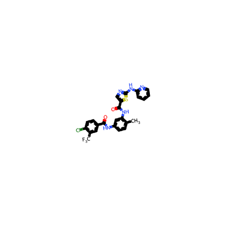 Cc1ccc(NC(=O)c2ccc(Cl)c(C(F)(F)F)c2)cc1NC(=O)c1cnc(Nc2ccccn2)s1